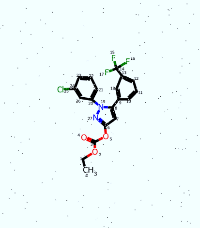 CCOC(=O)Oc1cc(-c2cccc(C(F)(F)F)c2)n(-c2cccc(Cl)c2)n1